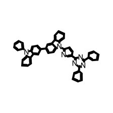 c1ccc(-c2nc(-c3ccccc3)nc(-c3ccc(-n4c5ccccc5c5cc(-c6ccc7c(c6)c6ccccc6n7-c6ccccc6)ccc54)nc3)n2)cc1